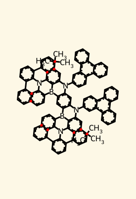 CC(C)(C)c1cc2c3c(c1)N(c1c(-c4ccccc4)cccc1-c1ccccc1)c1ccccc1B3c1cc3c(cc1N2c1ccc2c4ccccc4c4ccccc4c2c1)N(c1ccc2c4ccccc4c4ccccc4c2c1)c1cc(C(C)(C)C)cc2c1B3c1ccccc1N2c1c(-c2ccccc2)cccc1-c1ccccc1